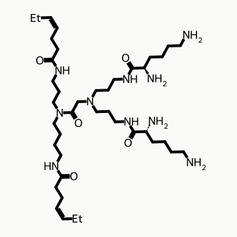 CC/C=C\CCC(=O)NCCCCN(CCCNC(=O)CC/C=C\CC)C(=O)CN(CCCNC(=O)[C@H](N)CCCCN)CCCNC(=O)[C@H](N)CCCCN